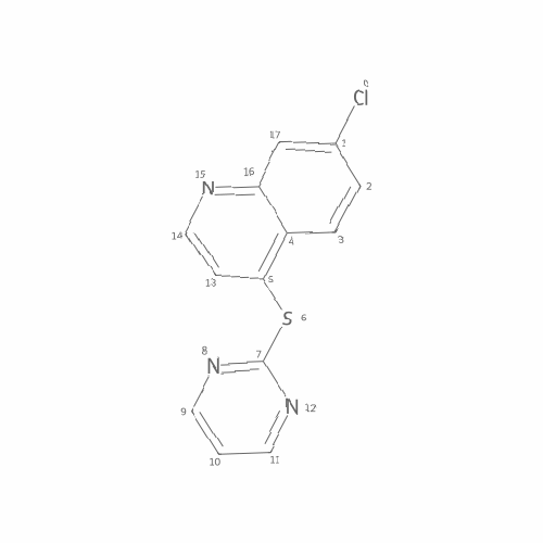 Clc1ccc2c(Sc3ncccn3)ccnc2c1